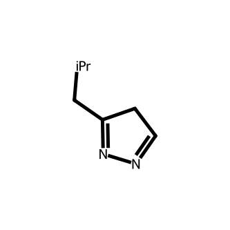 CC(C)CC1=NN=CC1